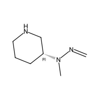 C=NN(C)[C@@H]1CCCNC1